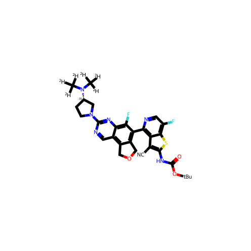 [2H]C([2H])([2H])N([C@H]1CCN(c2ncc3c4c(c(-c5ncc(F)c6sc(NC(=O)OC(C)(C)C)c(C#N)c56)c(F)c3n2)COC4)C1)C([2H])([2H])[2H]